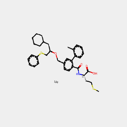 CSCC[C@H](NC(=O)c1ccc(COC(CSc2ccccc2)CC2CCCCC2)cc1-c1ccccc1C)C(=O)O.[LiH]